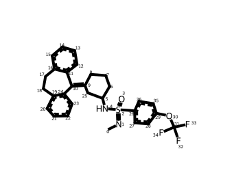 CN=S(=O)(NC1CCCC(=C2c3ccccc3CCc3ccccc32)C1)c1ccc(OC(F)(F)F)cc1